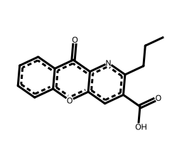 CCCc1nc2c(=O)c3ccccc3oc2cc1C(=O)O